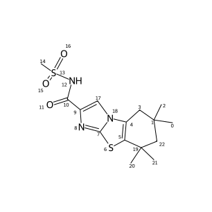 CC1(C)Cc2c(sc3nc(C(=O)NS(C)(=O)=O)cn23)C(C)(C)C1